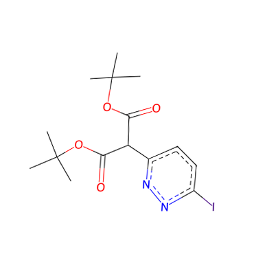 CC(C)(C)OC(=O)C(C(=O)OC(C)(C)C)c1ccc(I)nn1